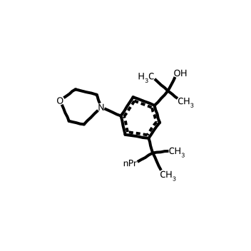 CCCC(C)(C)c1cc(N2CCOCC2)cc(C(C)(C)O)c1